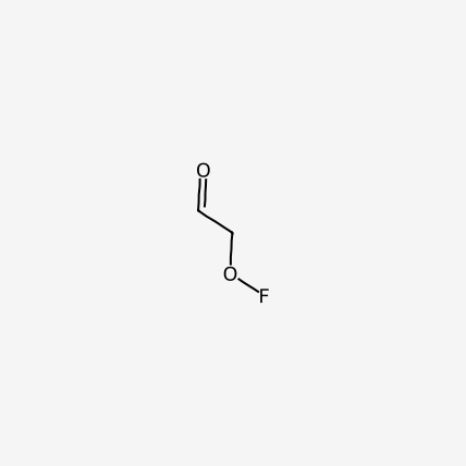 O=CCOF